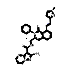 C[C@@H](NC(=O)c1c(N)nn2cccnc12)c1cc2cccc(/C=C/c3ccn(C)n3)c2c(=O)n1-c1ccccc1